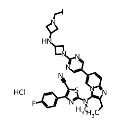 CCc1nc2ccc(-c3cnc(N4CC(NC5CN(CI)C5)C4)nc3)cn2c1N(C)c1nc(-c2ccc(F)cc2)c(C#N)s1.Cl